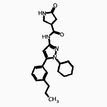 CCCc1cccc(-c2cc(NC(=O)C3CNC(=O)C3)nn2C2CCCCC2)c1